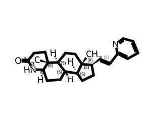 C[C@]12CCC(=O)N[C@@H]1CC[C@@H]1[C@@H]2CC[C@]2(C)[C@@H](/C=C/c3ccccn3)CC[C@@H]12